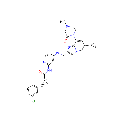 CN1CCN(c2cc(C3CC3)cn3cc(CNc4ccnc(NC(=O)[C@H]5C[C@@H]5c5cccc(Cl)c5)c4)nc23)C(=O)C1